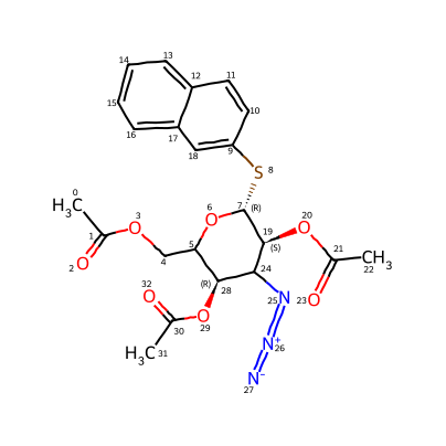 CC(=O)OCC1O[C@H](Sc2ccc3ccccc3c2)[C@@H](OC(C)=O)C(N=[N+]=[N-])[C@H]1OC(C)=O